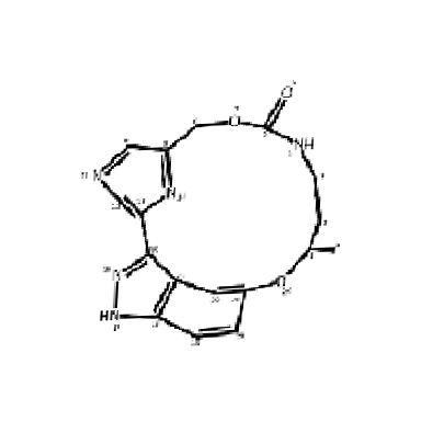 C[C@@H]1CCNC(=O)OCc2cncc(n2)-c2n[nH]c3ccc(cc23)O1